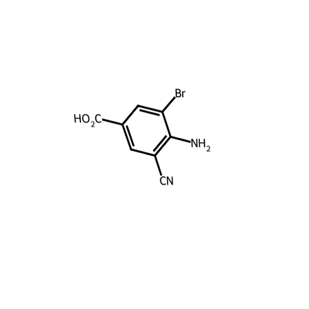 N#Cc1cc(C(=O)O)cc(Br)c1N